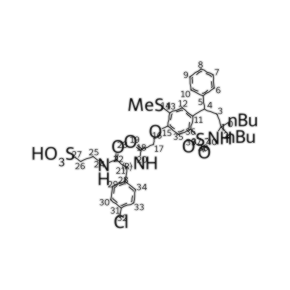 CCCCC1(CCCC)CC(c2ccccc2)c2cc(SC)c(OCC(=O)N[C@@H](C(=O)NCCS(=O)(=O)O)c3ccc(Cl)cc3)cc2S(=O)(=O)N1